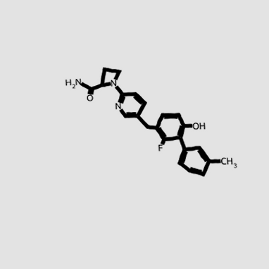 Cc1cccc(-c2c(O)ccc(Cc3ccc(N4CCC4C(N)=O)nc3)c2F)c1